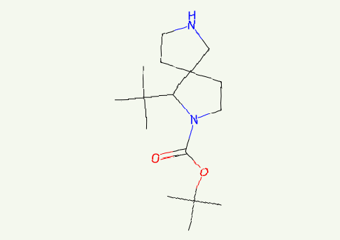 CC(C)(C)OC(=O)N1CCC2(CCNC2)C1C(C)(C)C